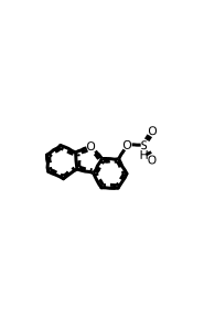 O=[SH](=O)Oc1cccc2c1oc1ccccc12